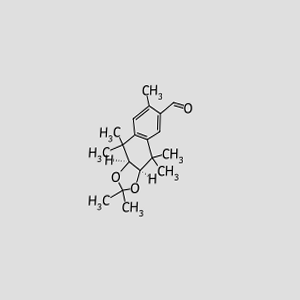 Cc1cc2c(cc1C=O)C(C)(C)[C@H]1OC(C)(C)O[C@H]1C2(C)C